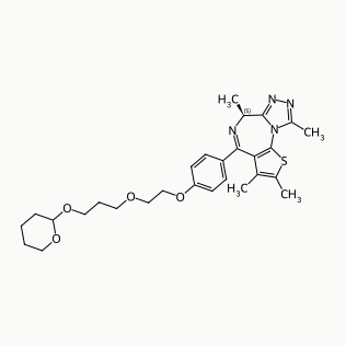 Cc1sc2c(c1C)C(c1ccc(OCCOCCCOC3CCCCO3)cc1)=N[C@@H](C)c1nnc(C)n1-2